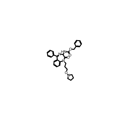 O=C(NC1N=C(c2ccccc2)c2ccccc2N(CCCON2CCCC2)C1=O)OCc1ccccc1